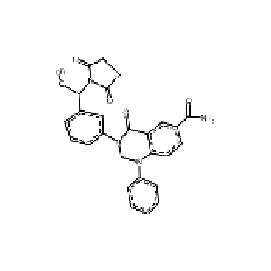 CCCOC(c1cccc(N2CN(c3ccccc3)c3ccc(C(N)=O)cc3C2=O)c1)N1C(=O)CSC1=O